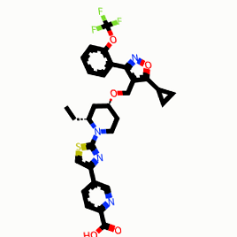 CC[C@@H]1C[C@H](OCc2c(-c3ccccc3OC(F)(F)F)noc2C2CC2)CCN1c1nc(-c2ccc(C(=O)O)nc2)cs1